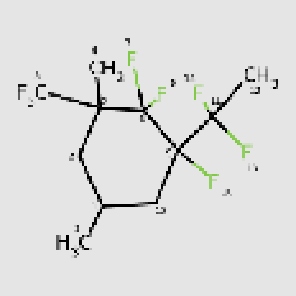 CC1CC(C)(C(F)(F)F)C(F)(F)C(F)(C(C)(F)F)C1